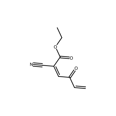 C=CC(=O)C=C(C#N)C(=O)OCC